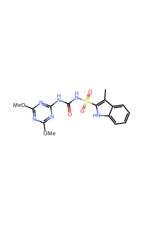 COc1nc(NC(=O)NS(=O)(=O)c2[nH]c3ccccc3c2C)nc(OC)n1